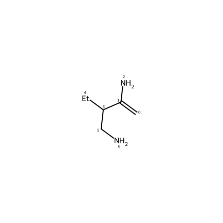 C=C(N)C(CC)CN